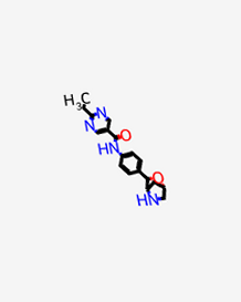 CCc1ncc(C(=O)Nc2ccc(C3OC4CNC3C4)cc2)cn1